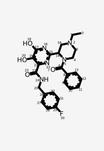 CCN1CCN(C(=O)c2ccccc2)C(c2nc(O)c(O)c(C(=O)NCc3ccc(F)cc3)n2)C1